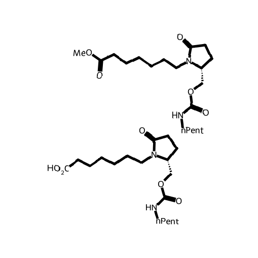 CCCCCNC(=O)OC[C@H]1CCC(=O)N1CCCCCCC(=O)O.CCCCCNC(=O)OC[C@H]1CCC(=O)N1CCCCCCC(=O)OC